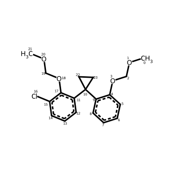 COCOc1ccccc1C1(c2cccc(Cl)c2OCOC)CC1